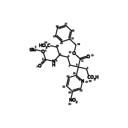 CC(C)(C)OC(=O)NC(CCC(CC(=O)O)(C(=O)OCc1ccccc1)c1ccc([N+](=O)[O-])cn1)CC(=O)O